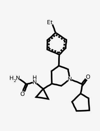 CCc1ccc(C2CC(C3(NC(N)=O)CC3)CN(C(=O)C3CCCC3)C2)cc1